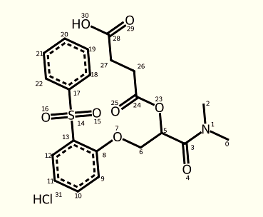 CN(C)C(=O)C(COc1ccccc1S(=O)(=O)c1ccccc1)OC(=O)CCC(=O)O.Cl